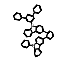 c1ccc(-c2cc(-c3ccccc3)cc(-n3c4ccccc4c4cc(-c5ccccc5-c5ccc6c(c5)c5ccccc5n6-c5ccccc5)ccc43)c2)cc1